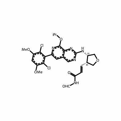 COc1cc(OC)c(Cl)c(-c2cc3cnc(N[C@@H]4COC[C@@H]4C=CC(=O)NC=O)nc3c(OC(C)C)n2)c1Cl